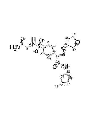 NC(=O)CNS(=O)(=O)c1ccc(/C(=N\O[C@@H]2CCOC2)C(=O)Nc2ncc(F)s2)cc1